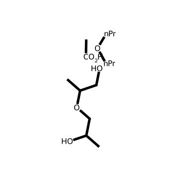 CC(=O)O.CC(O)COC(C)CO.CCCOCCC